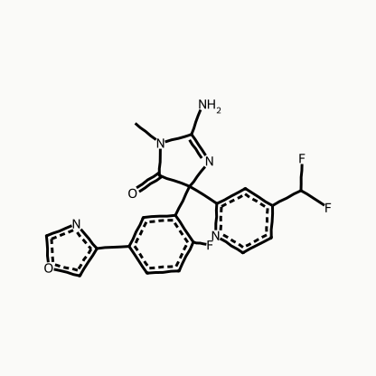 CN1C(=O)C(c2cc(C(F)F)ccn2)(c2cc(-c3cocn3)ccc2F)N=C1N